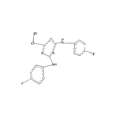 CC(C)Oc1cc(Nc2ccc(F)cc2)nc(Nc2ccc(F)cc2)n1